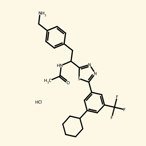 CC(=O)NC(Cc1ccc(CN)cc1)c1nnc(-c2cc(C3CCCCC3)cc(C(F)(F)F)c2)s1.Cl